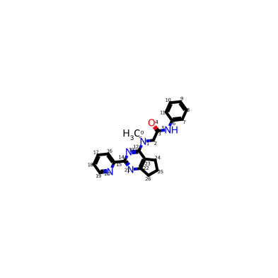 CN(CC(=O)Nc1ccccc1)c1nc(-c2ccccn2)nc2c1CCC2